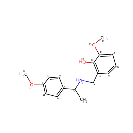 COc1ccc(C(C)NCc2cccc(OC)c2O)cc1